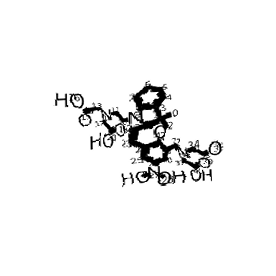 CC1(C)c2ccccc2N(CCN(CC(=O)O)CC(=O)O)C12C=Cc1cc(N(O)O)cc(CN(CC=O)CC(=O)O)c1O2